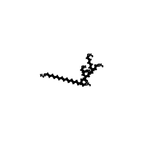 CCCCCCCCCCCCCCCC(CC)CC(=O)N(CCCC(CCC)CCCCCC)CC(O)CO